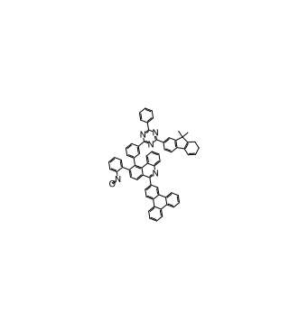 CC1(C)C2=C(C=CCC2)c2ccc(-c3nc(-c4ccccc4)nc(-c4cccc(-c5c(-c6ccccc6N=O)ccc6c(-c7ccc8c9ccccc9c9ccccc9c8c7)nc7ccccc7c56)c4)n3)cc21